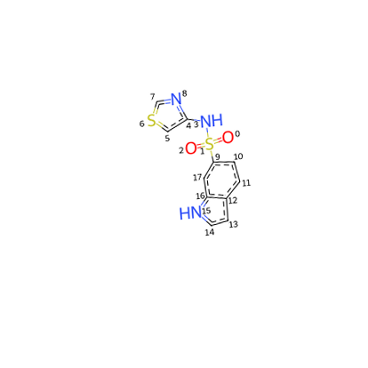 O=S(=O)(Nc1cscn1)c1ccc2cc[nH]c2c1